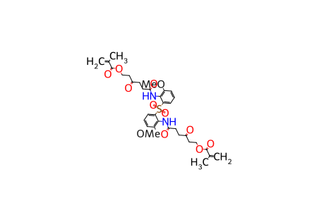 C=C(C)C(=O)OCCC(=O)CCC(=O)Nc1c(OC)cccc1S(=O)(=O)c1cccc(OC)c1NC(=O)CCC(=O)CCOC(=O)C(=C)C